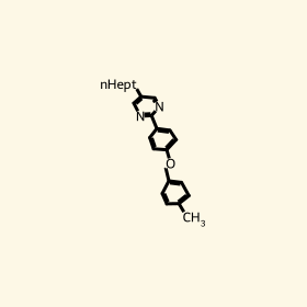 CCCCCCCc1cnc(-c2ccc(OCc3ccc(C)cc3)cc2)nc1